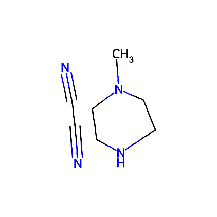 CN1CCNCC1.N#CC#N